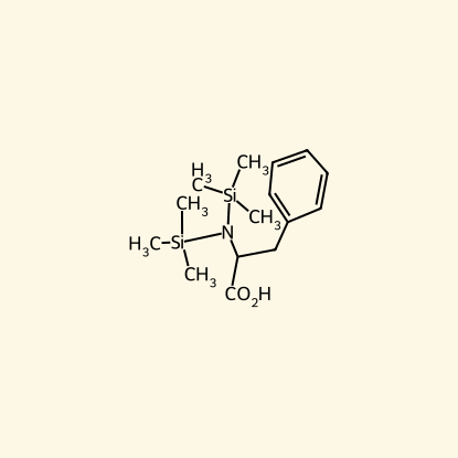 C[Si](C)(C)N(C(Cc1ccccc1)C(=O)O)[Si](C)(C)C